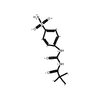 CC(C)(C)C(=O)NC(=O)Nc1ccc(S(N)(=O)=O)cc1